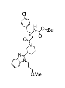 COCCCn1c(C2CCCN(C(=O)C[C@@H](Cc3ccc(Cl)cc3)NC(=O)OC(C)(C)C)C2)nc2ccccc21